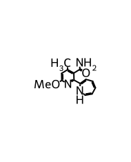 COc1cc(C)c(C(N)=O)c(C2=CC=CC=CN2)n1